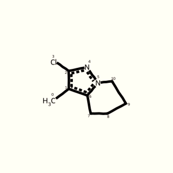 Cc1c(Cl)nn2c1CCCC2